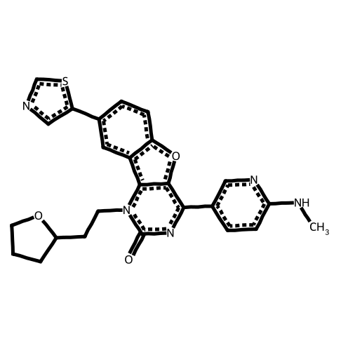 CNc1ccc(-c2nc(=O)n(CCC3CCCO3)c3c2oc2ccc(-c4cncs4)cc23)cn1